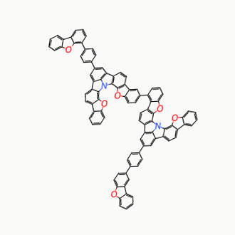 c1ccc2c(c1)oc1ccc(-c3ccc(-c4cc5c6ccc7c8ccccc8oc7c6n6c5c(c4)c4ccc5c(oc7cccc(-c8ccc9oc%10c(ccc%11c%12cc(-c%13ccc(-c%14cccc%15c%14oc%14ccccc%14%15)cc%13)cc%13c%14ccc%15c%16ccccc%16oc%15c%14n(c%13%12)c%11%10)c9c8)c75)c46)cc3)cc12